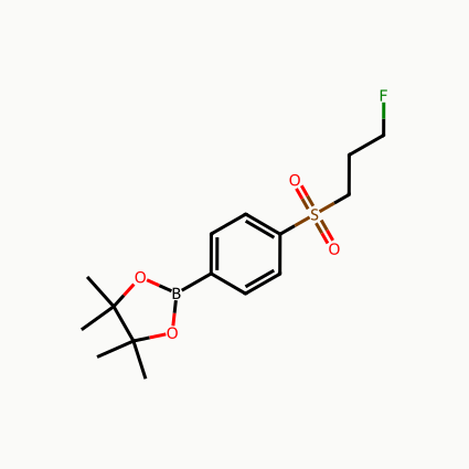 CC1(C)OB(c2ccc(S(=O)(=O)CCCF)cc2)OC1(C)C